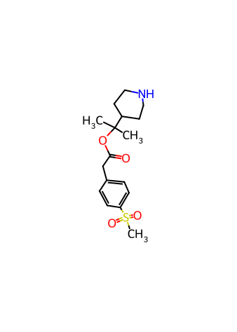 CC(C)(OC(=O)Cc1ccc(S(C)(=O)=O)cc1)C1CCNCC1